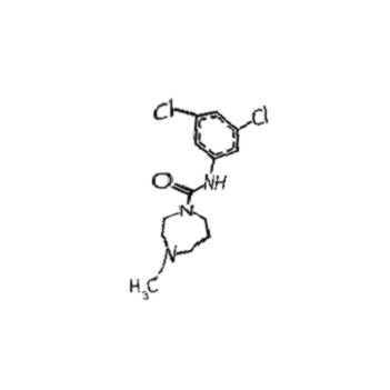 CN1CCCN(C(=O)Nc2cc(Cl)cc(Cl)c2)CC1